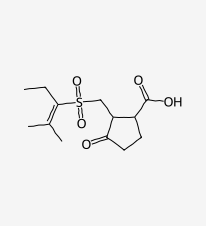 CCC(=C(C)C)S(=O)(=O)CC1C(=O)CCC1C(=O)O